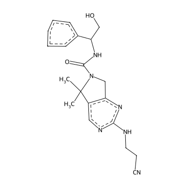 CC1(C)c2cnc(NCCC#N)nc2CN1C(=O)NC(CO)c1ccccc1